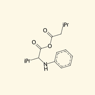 CC(C)CC(=O)OC(=O)C(Nc1ccccc1)C(C)C